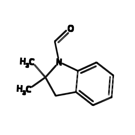 CC1(C)Cc2ccccc2N1C=O